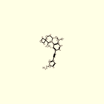 CC1N(c2cc(C#Cc3ccn(C)n3)cnc2[N+](=O)[O-])CCOC12COC2